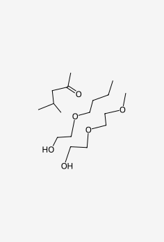 CC(=O)CC(C)C.CCCCOCCO.COCCOCCO